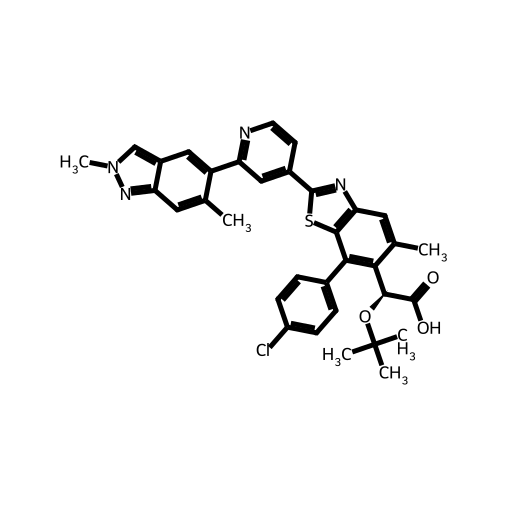 Cc1cc2nn(C)cc2cc1-c1cc(-c2nc3cc(C)c([C@H](OC(C)(C)C)C(=O)O)c(-c4ccc(Cl)cc4)c3s2)ccn1